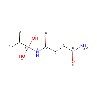 CC(C)C(O)(O)NC(=O)CCC(N)=O